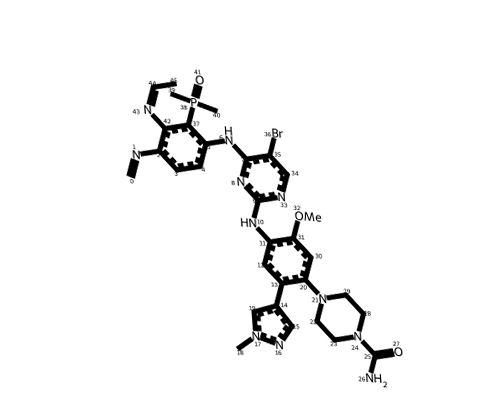 C=Nc1ccc(Nc2nc(Nc3cc(-c4cnn(C)c4)c(N4CCN(C(N)=O)CC4)cc3OC)ncc2Br)c(P(C)(C)=O)c1/N=C\C